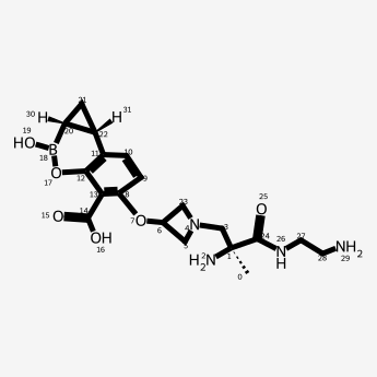 C[C@](N)(CN1CC(Oc2ccc3c(c2C(=O)O)OB(O)[C@@H]2C[C@H]32)C1)C(=O)NCCN